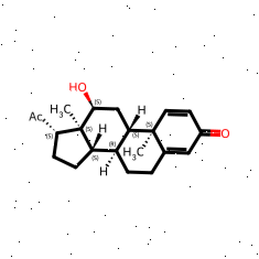 CC(=O)[C@H]1CC[C@H]2[C@@H]3CCC4=CC(=O)C=C[C@]4(C)[C@H]3C[C@H](O)[C@]12C